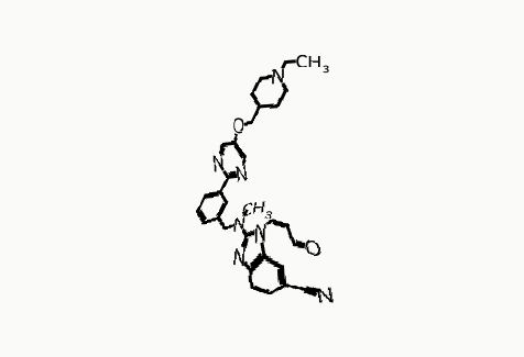 CCN1CCC(COc2cnc(-c3cccc(CN(C)c4nc5ccc(C#N)cc5n4/C=C\C=O)c3)nc2)CC1